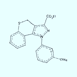 CCOC(=O)c1nn(-c2cccc(OC)c2)c2c1CSc1ccccc1-2